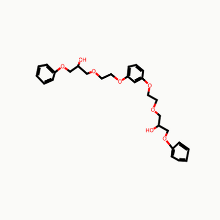 OC(COCCOc1cccc(OCCOCC(O)COc2ccccc2)c1)COc1ccccc1